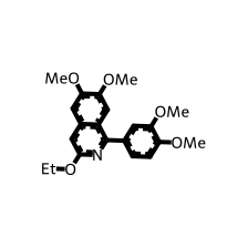 CCOc1cc2cc(OC)c(OC)cc2c(-c2ccc(OC)c(OC)c2)n1